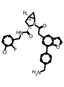 NCc1ccc(-c2cc(CC(=O)N3C4C[C@@H]4C[C@H]3C(=O)NCc3cccc(Cl)c3F)cc3ccoc23)cc1